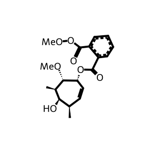 COOC(=O)c1ccccc1C(=O)O[C@@H]1C=C[C@@H](C)[C@@H](O)[C@@H](C)[C@@H]1OC